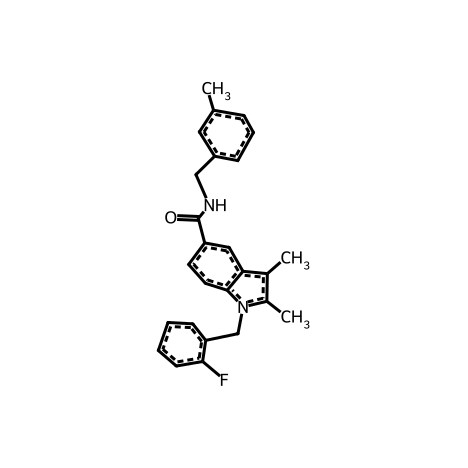 Cc1cccc(CNC(=O)c2ccc3c(c2)c(C)c(C)n3Cc2ccccc2F)c1